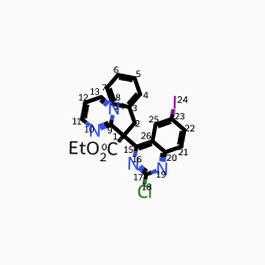 CCOC(=O)C(Cc1ccccc1)(c1ncccn1)c1nc(Cl)nc2ccc(I)cc12